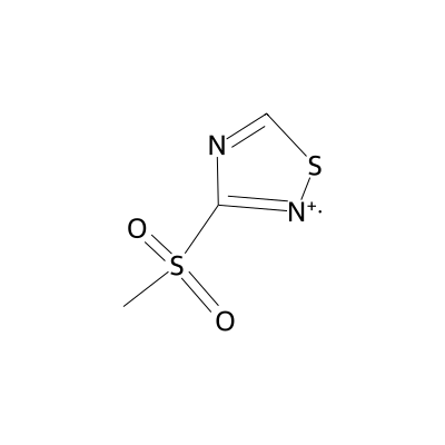 CS(=O)(=O)C1=[N+]SC=N1